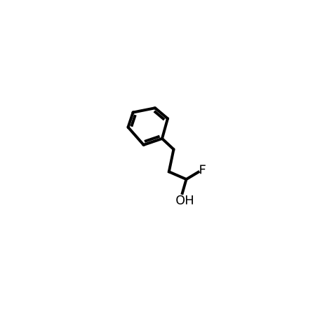 OC(F)CCc1ccccc1